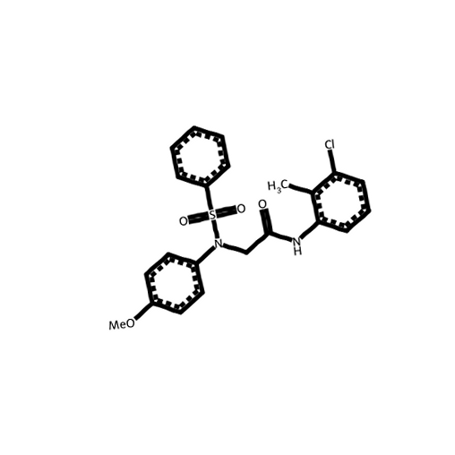 COc1ccc(N(CC(=O)Nc2cccc(Cl)c2C)S(=O)(=O)c2ccccc2)cc1